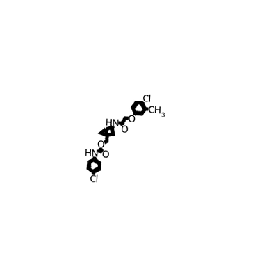 Cc1cc(OCC(=O)NC2CC3(COC(=O)Nc4ccc(Cl)cc4)CC23)ccc1Cl